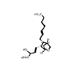 CCCCCC(O)C=C[C@@H]1[C@@H](CC=CCCCC(=O)O)[C@@H]2CO[C@H]1C2